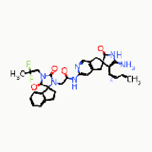 C=C/C=C\C1=C(N)NC(=O)C12Cc1cnc(NC(=O)CN3C(=O)N(CC(C)(F)F)C(=O)C34CCc3ccccc34)cc1C2